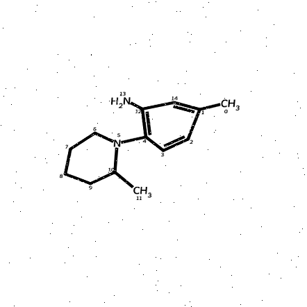 Cc1ccc(N2CCCCC2C)c(N)c1